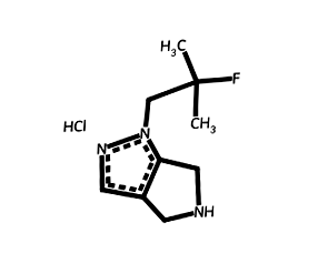 CC(C)(F)Cn1ncc2c1CNC2.Cl